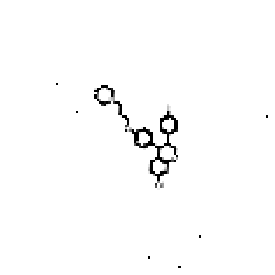 Oc1ccc2c(c1)OCC(c1ccc(F)cc1)C2c1ccc(OCCCN2CCCCC2)cc1